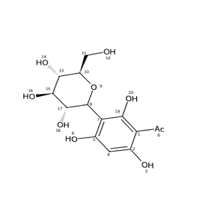 CC(=O)c1c(O)cc(O)c(C2O[C@H](CO)[C@@H](O)[C@H](O)[C@H]2O)c1O